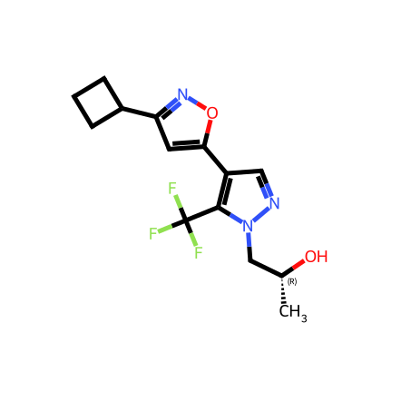 C[C@@H](O)Cn1ncc(-c2cc(C3CCC3)no2)c1C(F)(F)F